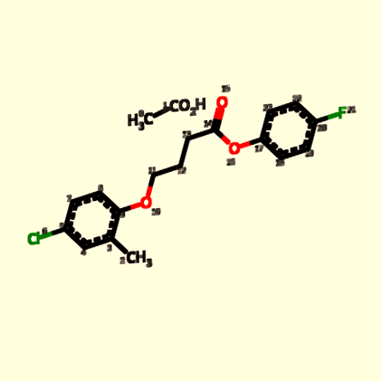 CC(=O)O.Cc1cc(Cl)ccc1OCCCC(=O)Oc1ccc(F)cc1